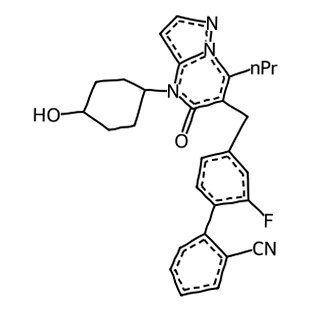 CCCc1c(Cc2ccc(-c3ccccc3C#N)c(F)c2)c(=O)n(C2CCC(O)CC2)c2ccnn12